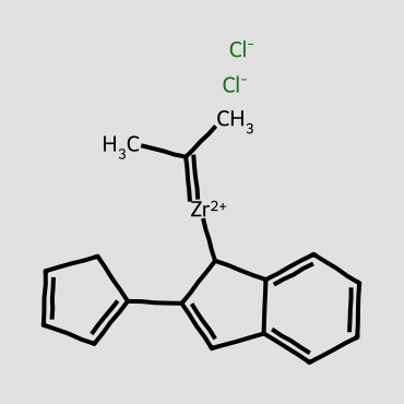 C[C](C)=[Zr+2][CH]1C(C2=CC=CC2)=Cc2ccccc21.[Cl-].[Cl-]